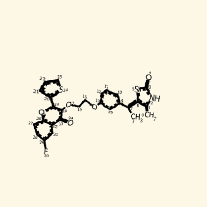 C=c1[nH]c(=O)s/c1=C(/C)c1cccc(OCCOc2c(-c3cccs3)oc3ccc(F)cc3c2=O)c1